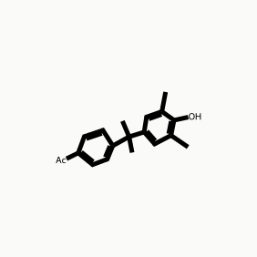 CC(=O)c1ccc(C(C)(C)c2cc(C)c(O)c(C)c2)cc1